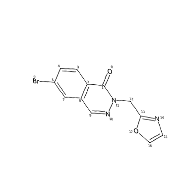 O=c1c2ccc(Br)cc2cnn1Cc1ncco1